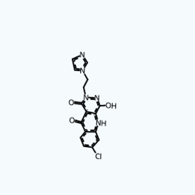 O=c1c2ccc(Cl)cc2[nH]c2c(O)nn(CCn3ccnc3)c(=O)c12